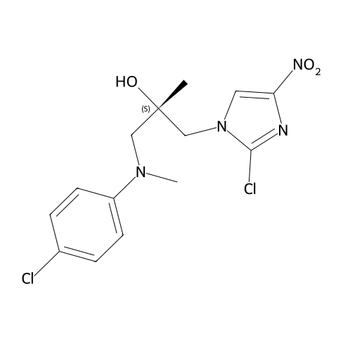 CN(C[C@](C)(O)Cn1cc([N+](=O)[O-])nc1Cl)c1ccc(Cl)cc1